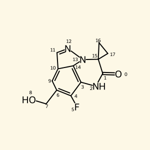 O=C1Nc2c(F)c(CO)cc3cnn(c23)C12CC2